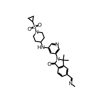 C/N=C/c1ccc2c(c1)C(C)(C)N(c1cncc(NC3CCN(S(=O)(=O)C4CC4)CC3)c1)C2=O